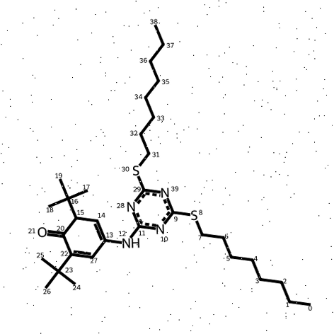 CCCCCCCCSc1nc(NC2=CC(C(C)(C)C)C(=O)C(C(C)(C)C)=C2)nc(SCCCCCCCC)n1